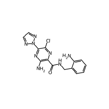 Nc1ccccc1CNC(=O)c1nc(Cl)c(-n2nccn2)nc1N